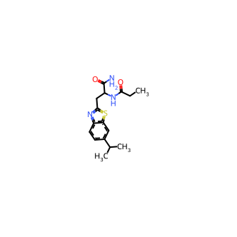 CCC(=O)NC(Cc1nc2ccc(C(C)C)cc2s1)C(N)=O